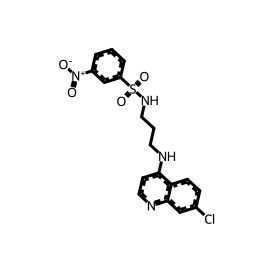 O=[N+]([O-])c1cccc(S(=O)(=O)NCCCNc2ccnc3cc(Cl)ccc23)c1